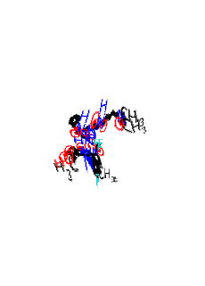 CC[C@@]1(O)C(=O)OCc2c1cc1n(c2=O)Cc2c-1nc1cc(F)c(C)c3c1c2[C@@H](NC(=O)[C@@H](OCNC(=O)CNC(=O)[C@H](Cc1ccccc1)NC(=O)CNC(=O)CNC(=O)CCCCCN(C)C(C)=O)C(F)(F)F)CC3